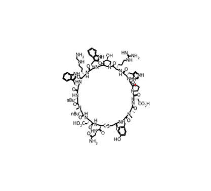 CCCC[C@@H]1NC(=O)[C@H](Cc2c[nH]c3ccccc23)NC(=O)[C@H](CCCNCN)NC(=O)[C@H](Cc2c[nH]c3ccccc23)NC(=O)[C@@H]2C[C@@H](O)CN2C(=O)[C@H](CCCNC(=N)N)NC(=O)[C@H](Cc2c[nH]cn2)NC(=O)[C@@H]2CCCN2C(=O)[C@H](CC(=O)O)NC(=O)[C@H](C)N(C)C(=O)[C@H](Cc2ccc(O)cc2)NC(=O)CSC[C@@H](C(=O)NCC(N)=O)NC(=O)[C@H](CC(=O)O)NC(=O)[C@H](CCCC)N(C)C1=O